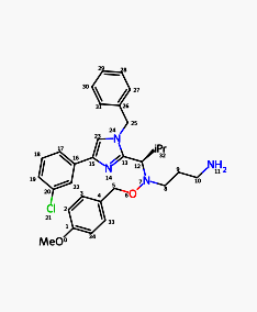 COc1ccc(CON(CCCN)[C@@H](c2nc(-c3cccc(Cl)c3)cn2Cc2ccccc2)C(C)C)cc1